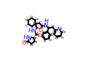 O=C(CC1(CNC(=O)[C@@H]2CCC(=O)N2)CCCCC1)NC(Cc1ccccn1)c1ccccc1